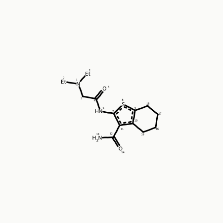 CCN(CC)CC(=O)Nc1sc2c(c1C(N)=O)CCCC2